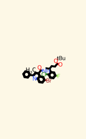 Cc1c(-c2ccccc2)nc2ccc(Br)cc2c1C(=O)NCC(CCC(=O)OC(C)(C)C)c1cc(F)ccc1Cl